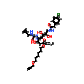 C#CCOCCCCCCO[C@]1(C(=O)O)C[C@H](O)[C@@H](NC(=O)NCC2CC2)[C@H]([C@H](O)[C@H](O)CNC(=O)Cc2ccc(Cl)cc2)O1